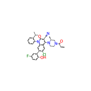 C=CC(=O)N1CCN(c2c(C#N)c(=O)n(-c3ccccc3C(C)C)c3cc(-c4cc(F)ccc4O)c(Cl)cc23)[C@@H](C)C1